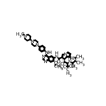 CN[C@@H](C)C(=O)N[C@H](C(=O)[C@H]1C(C(=O)Nc2cc3c(Nc4ccc(N5CCN(C6CCN(C)CC6)CC5)cc4)ncnc3cc2OC)=Cn2cccc21)C(C)(C)C